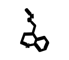 C=NOCc1ccnc2ccccc12